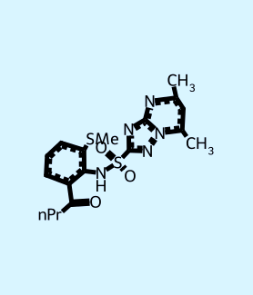 CCCC(=O)c1cccc(SC)c1NS(=O)(=O)c1nc2nc(C)cc(C)n2n1